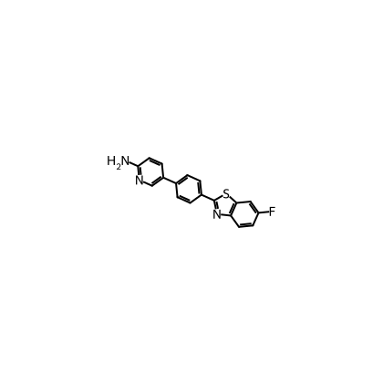 Nc1ccc(-c2ccc(-c3nc4ccc(F)cc4s3)cc2)cn1